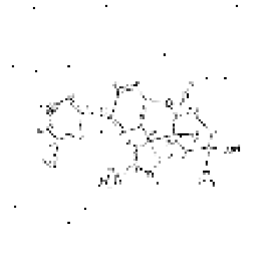 CC1(O)CC[C@@H]2Oc3ccc(-c4cncc(Cl)c4)cc3[C@@]3(COC(N)=N3)[C@H]2C1